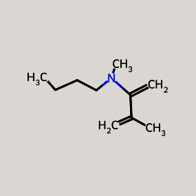 C=C(C)C(=C)N(C)CCCC